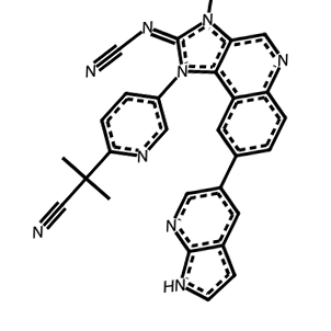 Cn1/c(=N/C#N)n(-c2ccc(C(C)(C)C#N)nc2)c2c3cc(-c4cnc5[nH]ccc5c4)ccc3ncc21